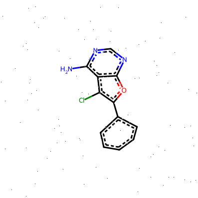 Nc1ncnc2oc(-c3ccccc3)c(Cl)c12